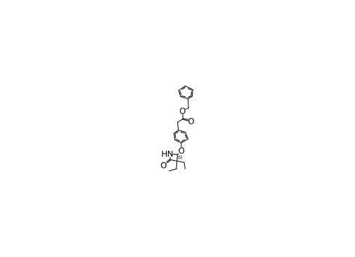 CCC1(CC)C(=O)N[C@H]1Oc1ccc(CC(=O)OCc2ccccc2)cc1